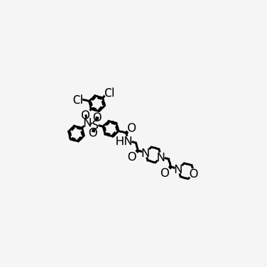 O=C(NCC(=O)N1CCN(CC(=O)N2CCOCC2)CC1)c1ccc(S(=O)(=O)N(Oc2ccc(Cl)cc2Cl)c2ccccc2)cc1